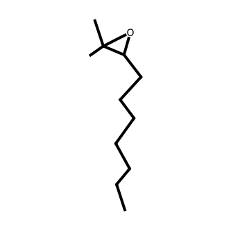 CCCCCCCC1OC1(C)C